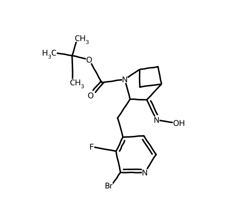 CC(C)(C)OC(=O)N1C2CC(C2)C(=NO)C1Cc1ccnc(Br)c1F